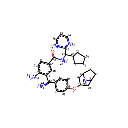 CN1C2CCC1CC(Oc1ccc(C(=N)c3cc(C(=O)NC(c4ncccn4)C4CCCC4)ccc3N)cc1)C2